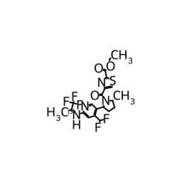 CCOC(=O)c1nc(C(=O)N2C(C)CCC2c2cnc(N[C@@H](C)C(F)(F)F)cc2C(F)F)cs1